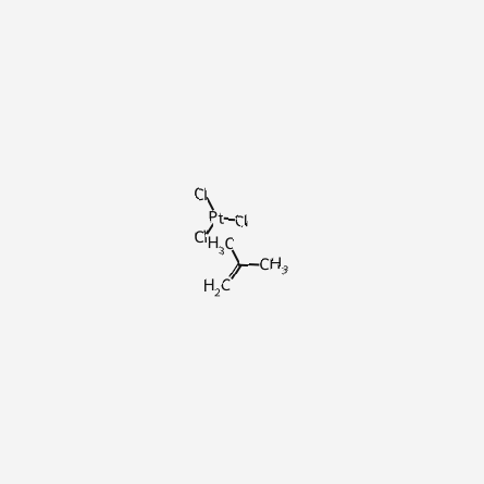 C=C(C)C.[Cl][Pt]([Cl])[Cl]